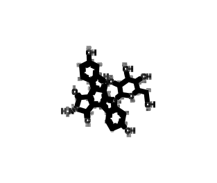 NN1C(=O)c2c(c3c4ccc(O)cc4n(C4OC(CO)C(O)C(O)C4O)c3c3[nH]c4cc(O)ccc4c23)C1=O